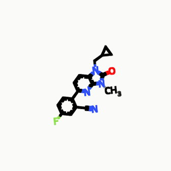 Cn1c(=O)n(CC2CC2)c2ccc(-c3ccc(F)cc3C#N)nc21